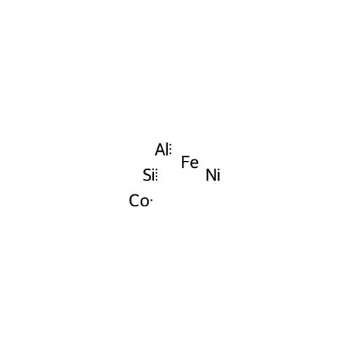 [Al].[Co].[Fe].[Ni].[Si]